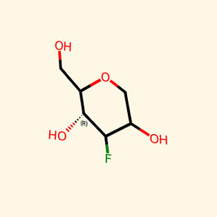 OCC1OCC(O)C(F)[C@@H]1O